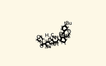 Cn1nc(-c2cccc(N3CCOc4cc(C(C)(C)C)ccc4C3=O)c2C=O)cc(Nc2ccc(C(=O)N3CCOCC3)cn2)c1=O